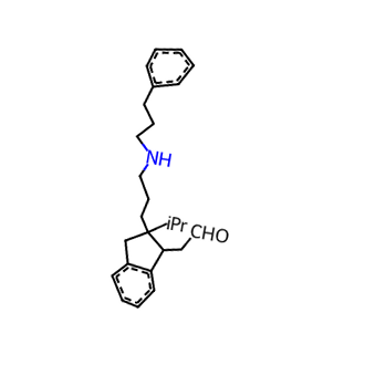 CC(C)C1(CCCNCCCc2ccccc2)Cc2ccccc2C1CC=O